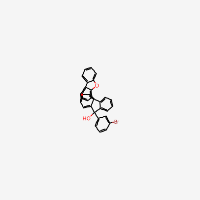 OC(c1ccccc1)(c1cccc(Br)c1)c1ccccc1-c1cccc2c1oc1ccccc12